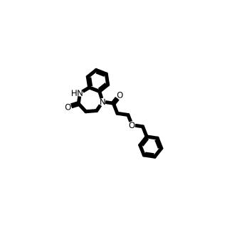 O=C1CCN(C(=O)CCOCc2ccccc2)c2ccccc2N1